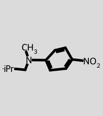 C[C](C)CN(C)c1ccc([N+](=O)[O-])cc1